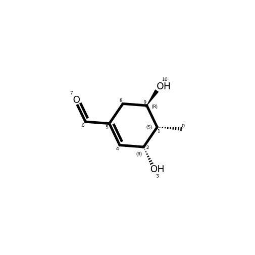 C[C@@H]1[C@H](O)C=C(C=O)C[C@H]1O